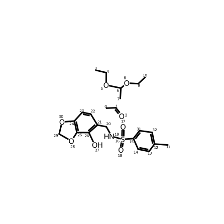 CC=O.CCOC(C)OCC.Cc1ccc(S(=O)(=O)NCc2ccc3c(c2O)OCO3)cc1